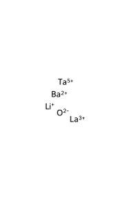 [Ba+2].[La+3].[Li+].[O-2].[Ta+5]